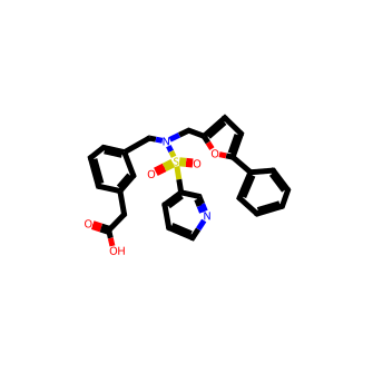 O=C(O)Cc1cccc(CN(Cc2ccc(-c3ccccc3)o2)S(=O)(=O)c2cccnc2)c1